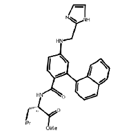 COC(=O)[C@H](CC(C)C)NC(=O)c1ccc(NCc2ncc[nH]2)cc1-c1cccc2ccccc12